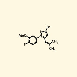 COc1cc(-n2nc(Br)cc2C=C(C)C)ccc1F